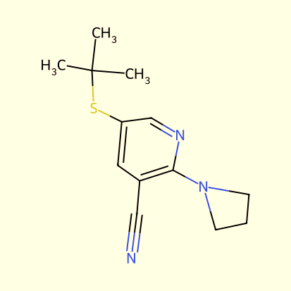 CC(C)(C)Sc1cnc(N2CCC2)c(C#N)c1